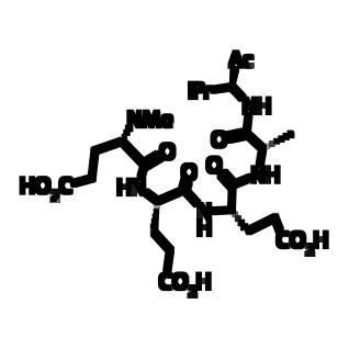 CN[C@@H](CCC(=O)O)C(=O)N[C@@H](CCC(=O)O)C(=O)N[C@@H](CCC(=O)O)C(=O)N[C@@H](C)C(=O)N[C@H](C(C)=O)C(C)C